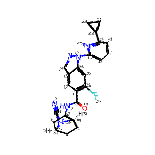 N#CN1[C@H]2CC[C@@H]1[C@H](NC(=O)c1cc3cnn(-c4cccc(C5CC5)n4)c3cc1F)C2